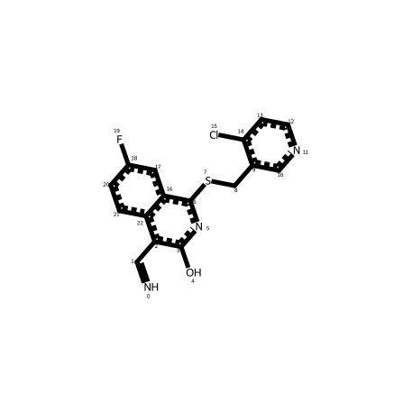 N=Cc1c(O)nc(SCc2cnccc2Cl)c2cc(F)ccc12